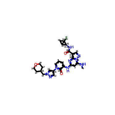 CNc1cc(Nc2cccn(-c3cnn(CC4CCOCC4)c3)c2=O)nc2c(C(=O)N[C@H]3C4CC43F)cnn12